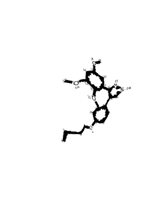 CCCCOc1ccc2c(c1)Oc1c(OC)cc(OC)cc1-c1nscc1-2